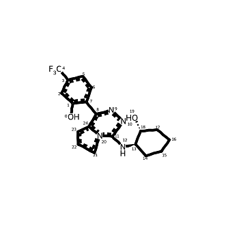 Oc1cc(C(F)(F)F)ccc1-c1nnc(N[C@@H]2CCCC[C@H]2O)n2cccc12